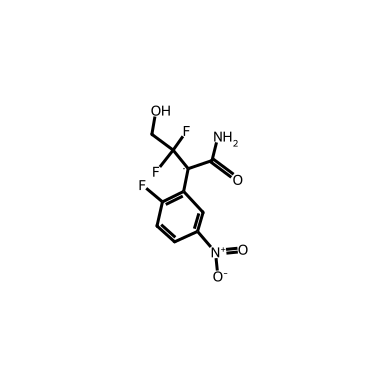 NC(=O)[C](c1cc([N+](=O)[O-])ccc1F)C(F)(F)CO